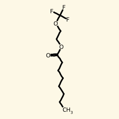 CCCCCCCC(=O)OCCOC(F)(F)F